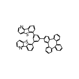 c1ccc2c(c1)-c1ccccc1-c1ccc(-c3cc(-c4cccc5c4sc4cccnc45)cc(-c4cccc5c4sc4cccnc45)c3)cc1-c1ccccc1-2